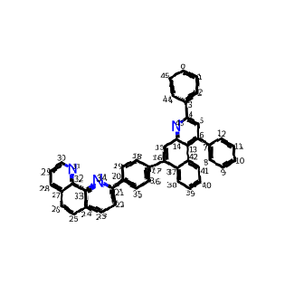 c1ccc(-c2cc(-c3ccccc3)c3c(cc(-c4ccc(-c5ccc6ccc7cccnc7c6n5)cc4)c4ccccc43)n2)cc1